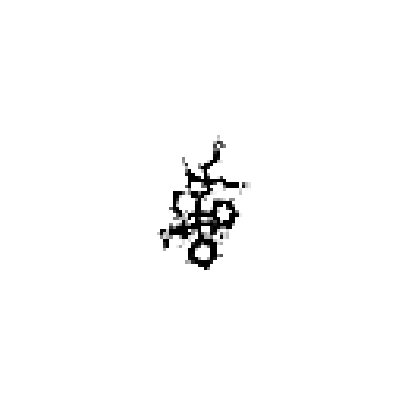 CNC(=O)N1CCN2C(=O)C(CCO)(CCO)CC2C1(c1ccccc1C)C(CO)(c1ccccc1)C(F)(F)F